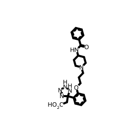 O=C(O)CC1(c2ccccc2OCCCN2CCC(NC(=O)c3ccccc3)CC2)N=NNN1